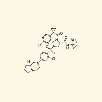 NC1(NC(=O)[C@@H]2C[C@@H](S(=O)(=O)c3ccc(N4CCN5CCC[C@H]5C4)cc3Cl)CN2C(=O)C2(c3ccc(Cl)nc3)CC2)CC1